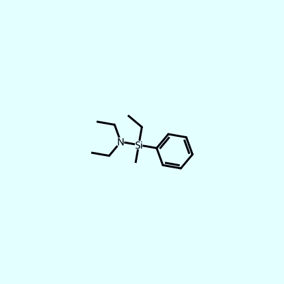 CCN(CC)[Si](C)(CC)c1ccccc1